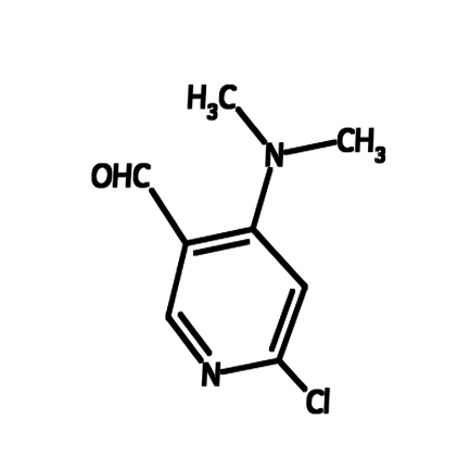 CN(C)c1cc(Cl)ncc1C=O